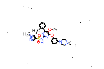 Cc1ccccc1-c1nc(NS(=O)(=O)c2cnn(C)c2)nc(Oc2cccc(N3CCN(C)CC3)c2)c1OC(C)C